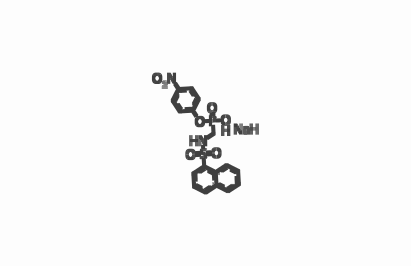 O=[N+]([O-])c1ccc(OP(=O)(O)CNS(=O)(=O)c2cccc3ccccc23)cc1.[NaH]